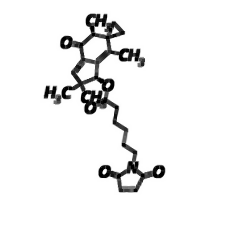 CC1=C2C(=CC(C)(C)[C@@H]2OC(=O)CCCCCN2C(=O)C=CC2=O)C(=O)[C@@H](C)C12CC2